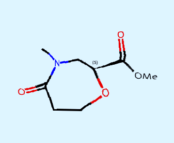 COC(=O)[C@@H]1CN(C)C(=O)CCO1